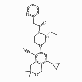 CC[C@@H]1CN(c2cc(C3CC3)c3c(c2C#N)CC(C)(C)OC3)CCN1C(=O)Cc1ccccn1